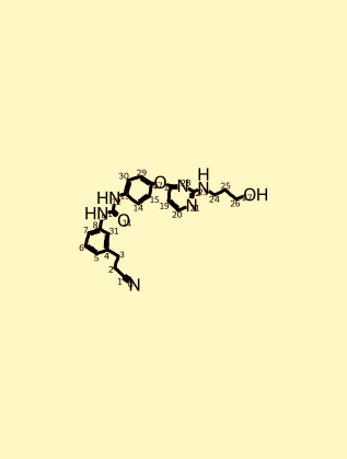 N#CCCc1cccc(NC(=O)Nc2ccc(Oc3ccnc(NCCCO)n3)cc2)c1